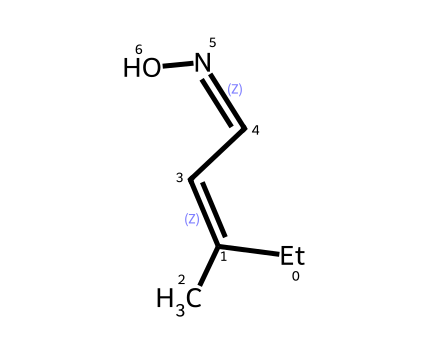 CC/C(C)=C\C=N/O